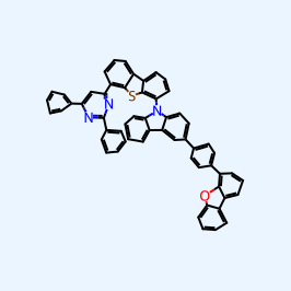 c1ccc(-c2cc(-c3cccc4c3sc3c(-n5c6ccccc6c6cc(-c7ccc(-c8cccc9c8oc8ccccc89)cc7)ccc65)cccc34)nc(-c3ccccc3)n2)cc1